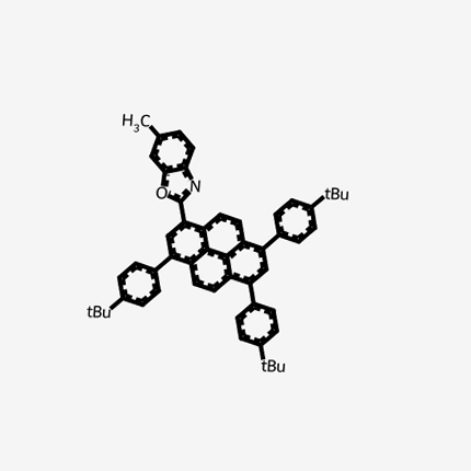 Cc1ccc2nc(-c3cc(-c4ccc(C(C)(C)C)cc4)c4ccc5c(-c6ccc(C(C)(C)C)cc6)cc(-c6ccc(C(C)(C)C)cc6)c6ccc3c4c56)oc2c1